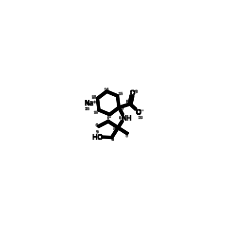 CCC(C)(CO)NC1(C(=O)[O-])CCCCC1.[Na+]